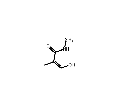 CC(=CO)C(=O)N[SiH3]